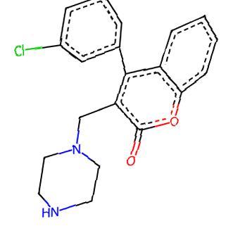 O=c1oc2ccccc2c(-c2cccc(Cl)c2)c1CN1CCNCC1